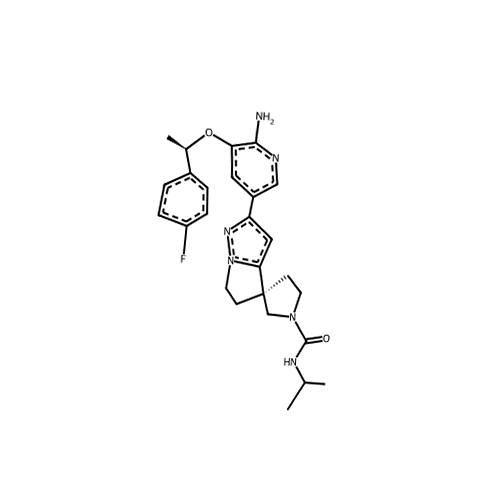 CC(C)NC(=O)N1CC[C@@]2(CCn3nc(-c4cnc(N)c(O[C@H](C)c5ccc(F)cc5)c4)cc32)C1